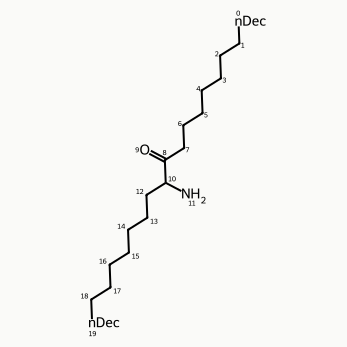 CCCCCCCCCCCCCCCCCC(=O)C(N)CCCCCCCCCCCCCCCCC